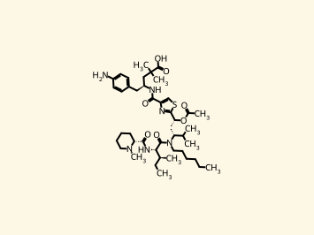 CCCCCCN(C(=O)[C@@H](NC(=O)[C@H]1CCCCN1C)[C@@H](C)CC)[C@H](C[C@@H](OC(C)=O)c1nc(C(=O)N[C@@H](Cc2ccc(N)cc2)CC(C)(C)C(=O)O)cs1)C(C)C